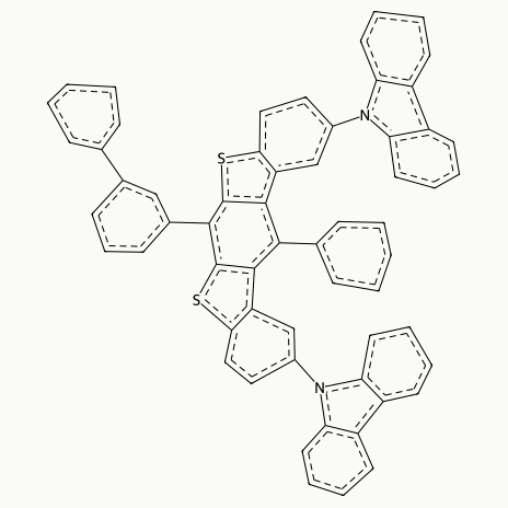 c1ccc(-c2cccc(-c3c4sc5ccc(-n6c7ccccc7c7ccccc76)cc5c4c(-c4ccccc4)c4c3sc3ccc(-n5c6ccccc6c6ccccc65)cc34)c2)cc1